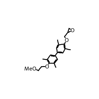 COCCOc1c(C)cc(-c2cc(C)c(OCC3CO3)c(C)c2)cc1C